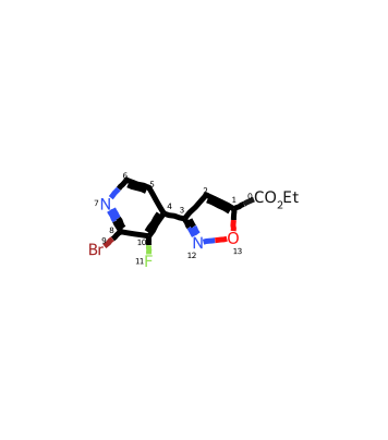 CCOC(=O)c1cc(-c2ccnc(Br)c2F)no1